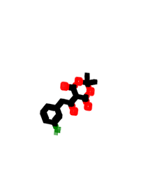 CC1(C)OC(=O)C(C(=O)Cc2cccc(F)c2)C(=O)O1